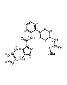 CC(C)(C)OC(=O)NC1CCN(c2ccccc2NC(=O)c2csc(Nc3ccsc3C#N)n2)CC1